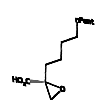 CCCCCCCCC[C@]1(C(=O)O)CO1